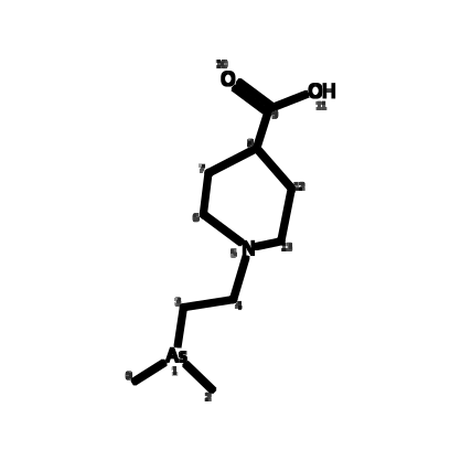 C[As](C)CCN1CCC(C(=O)O)CC1